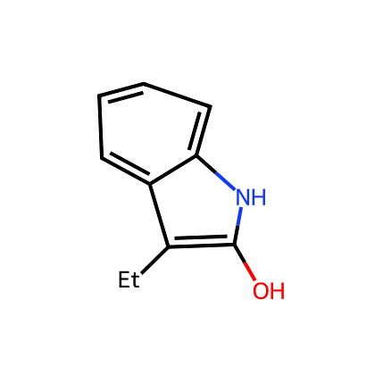 CCc1c(O)[nH]c2ccccc12